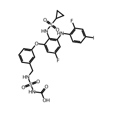 O=C(O)NS(=O)(=O)NCc1cccc(Oc2cc(F)cc(Nc3ccc(I)cc3F)c2NS(=O)(=O)C2CC2)c1